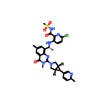 Cc1cc([C@@H](C)Nc2ccc(Cl)nc2C(=O)NS(C)(=O)=O)c2nc(N3C[C@@H]4C(c5ccc(C)nc5)[C@@H]4C3)n(C)c(=O)c2c1